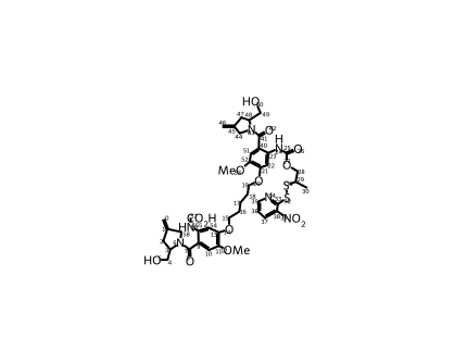 C=C1CC(CO)N(C(=O)c2cc(OC)c(OCCCCCOc3cc(NC(=O)OCC(C)SSc4ncccc4[N+](=O)[O-])c(C(=O)N4CC(=C)CC4CO)cc3OC)cc2NC(=O)O)C1